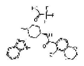 CN1CC[C@@H](NC(=O)c2ccc3c(c2Cl)OCCO3)C[C@@H]1c1nc2ccccc2[nH]1.O=C(O)C(F)(F)F